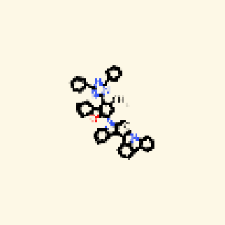 Cc1cc(-n2c3ccccc3c3c4c5cccc6c7ccccc7n(c4ccc32)c65)c2oc3ccccc3c2c1-c1nc(-c2ccccc2)nc(-c2ccccc2)n1